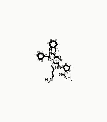 NCCCC[C@H](NC(=O)[C@H](Cc1ccccc1)NC(=O)c1ccccc1)C(=O)N[C@H]1CCC[C@@H]1C(N)=O